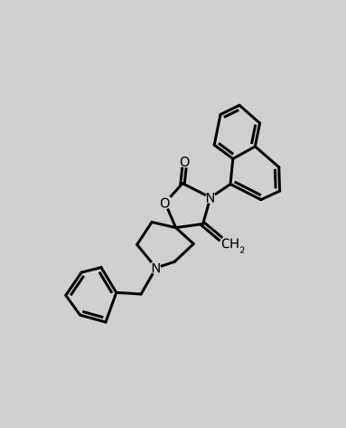 C=C1N(c2cccc3ccccc23)C(=O)OC12CCN(Cc1ccccc1)CC2